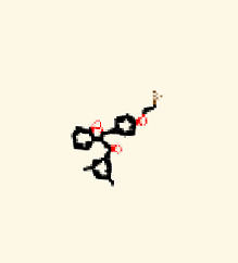 Cc1cc(C)cc(C(=O)c2c(-c3ccc(OCCBr)cc3)oc3ccccc23)c1